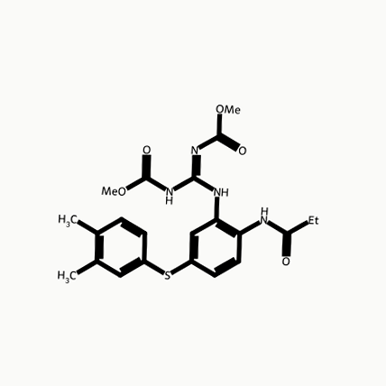 CCC(=O)Nc1ccc(Sc2ccc(C)c(C)c2)cc1NC(=NC(=O)OC)NC(=O)OC